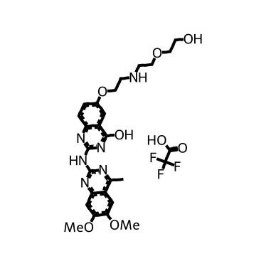 COc1cc2nc(Nc3nc(O)c4cc(OCCNCCOCCO)ccc4n3)nc(C)c2cc1OC.O=C(O)C(F)(F)F